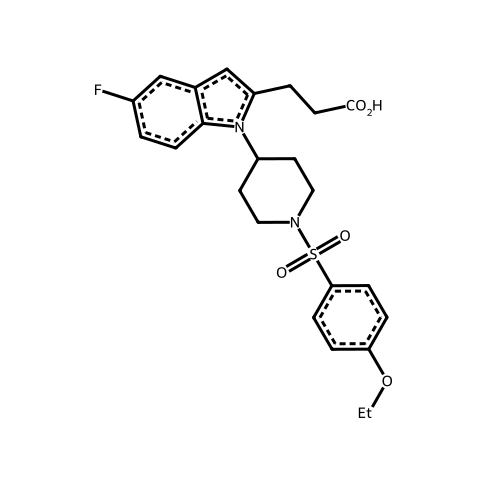 CCOc1ccc(S(=O)(=O)N2CCC(n3c(CCC(=O)O)cc4cc(F)ccc43)CC2)cc1